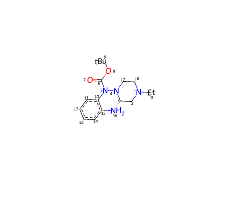 CCN1CCN(N(C(=O)OC(C)(C)C)c2ccccc2N)CC1